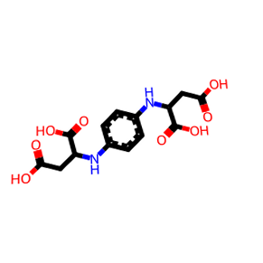 O=C(O)CC(Nc1ccc(NC(CC(=O)O)C(=O)O)cc1)C(=O)O